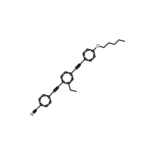 CCCCCOc1ccc(C#Cc2ccc(C#Cc3ccc(C#N)cc3)c(CC)c2)cc1